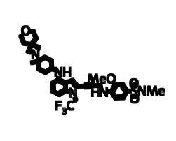 CNS(=O)(=O)c1ccc(NCC#Cc2cc3c(NC4CCC(C)(N5CC6(CCOCC6)C5)CC4)cccc3n2CC(F)(F)F)c(OC)c1